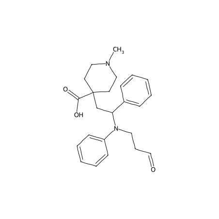 CN1CCC(CC(c2ccccc2)N(CCC=O)c2ccccc2)(C(=O)O)CC1